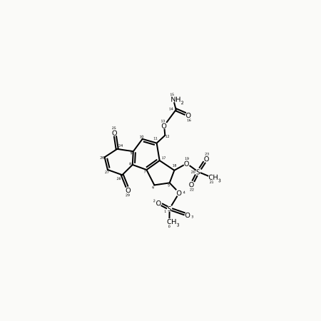 CS(=O)(=O)OC1Cc2c3c(cc(COC(N)=O)c2C1OS(C)(=O)=O)C(=O)C=CC3=O